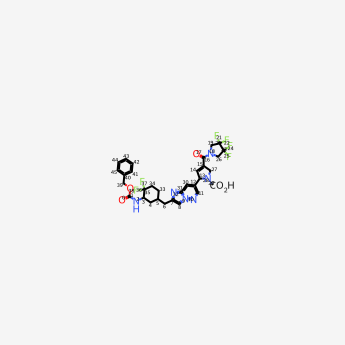 O=C(NC1CC(Cc2cn3ncc(C4C=C(C(=O)N5CC(F)(F)C(F)(F)C5)CN4C(=O)O)cc3n2)CCC1(F)F)OCc1ccccc1